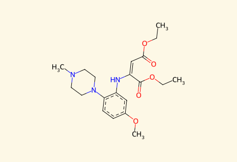 CCOC(=O)C=C(Nc1cc(OC)ccc1N1CCN(C)CC1)C(=O)OCC